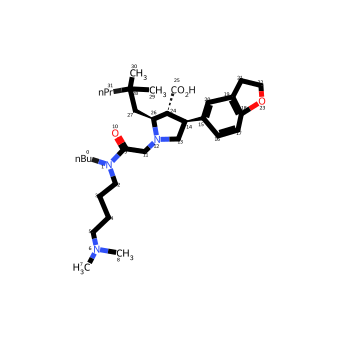 CCCCN(CCCCN(C)C)C(=O)CN1C[C@H](c2ccc3c(c2)CCO3)[C@@H](C(=O)O)[C@@H]1CC(C)(C)CCC